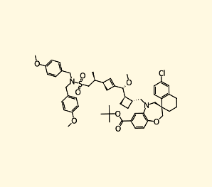 COc1ccc(CN(Cc2ccc(OC)cc2)S(=O)(=O)C[C@@H](C)[C@H]2C=C([C@H](OC)[C@@H]3CC[C@H]3CN3C[C@@]4(CCCc5cc(Cl)ccc54)COc4ccc(C(=O)OC(C)(C)C)cc43)C2)cc1